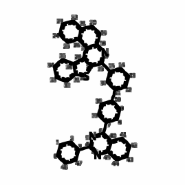 c1ccc(-c2nc(-c3ccc(-c4cccc(-c5nc6ccc7ccccc7c6c6c5sc5ccccc56)c4)cc3)c3ccccc3n2)cc1